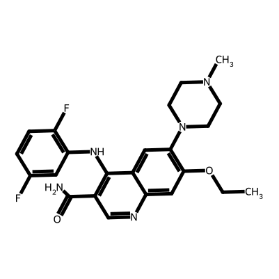 CCOc1cc2ncc(C(N)=O)c(Nc3cc(F)ccc3F)c2cc1N1CCN(C)CC1